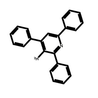 [2H]c1c(-c2ccccc2)cc(-c2ccccc2)nc1-c1ccccc1